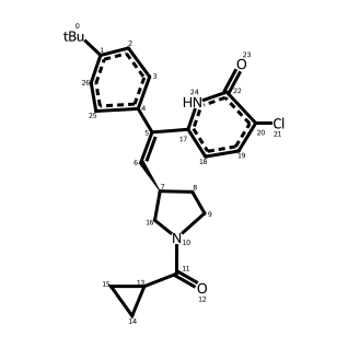 CC(C)(C)c1ccc(C(=C[C@H]2CCN(C(=O)C3CC3)C2)c2ccc(Cl)c(=O)[nH]2)cc1